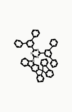 c1ccc(-c2cc(-c3ccccc3)cc(-c3nc(-c4cc(-c5ccccc5)cc(-c5ccccc5)c4)nc(-n4c5ccccc5c5cc6c(cc54)C4(c5ccccc5-c5ccccc54)c4ccccc4-6)n3)c2)cc1